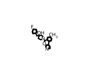 Cc1ccc(-c2ccncc2)c(C(=O)N2CCC(O)(Cc3ccc(F)cc3)CC2)c1